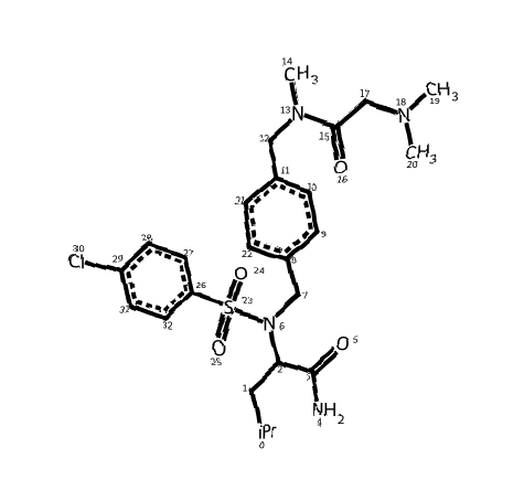 CC(C)CC(C(N)=O)N(Cc1ccc(CN(C)C(=O)CN(C)C)cc1)S(=O)(=O)c1ccc(Cl)cc1